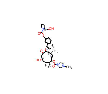 C/C(=C\c1cccc(COC(=O)N2CCC[C@@H]2CO)c1)[C@H]1C(=O)C(=O)C[C@H](O)CC[C@H](C)[C@@H](OC(=O)N2CCN(C)CC2)/C=C/[C@@H]1C